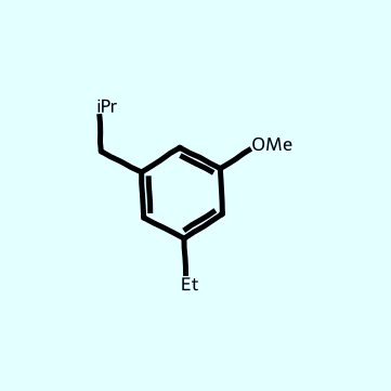 CCc1cc(CC(C)C)cc(OC)c1